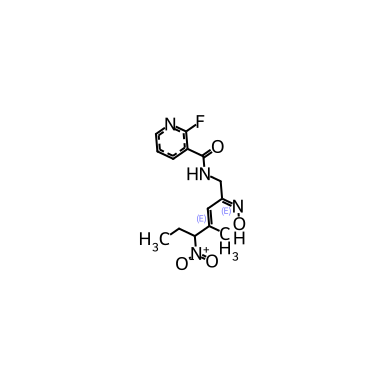 CCC(/C(C)=C/C(CNC(=O)c1cccnc1F)=N\O)[N+](=O)[O-]